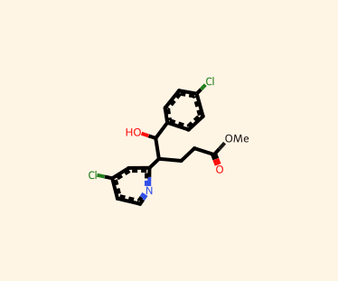 COC(=O)CCC(c1cc(Cl)ccn1)C(O)c1ccc(Cl)cc1